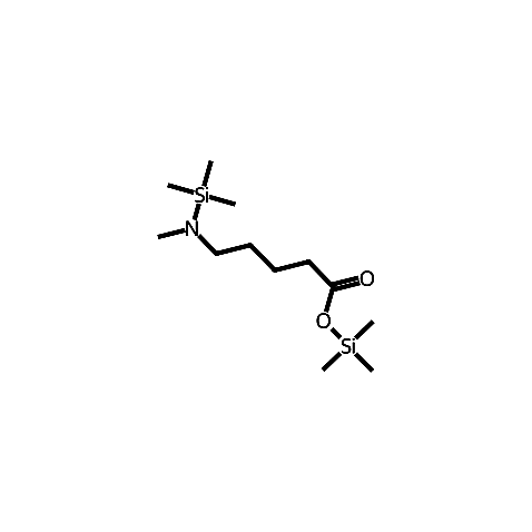 CN(CCCCC(=O)O[Si](C)(C)C)[Si](C)(C)C